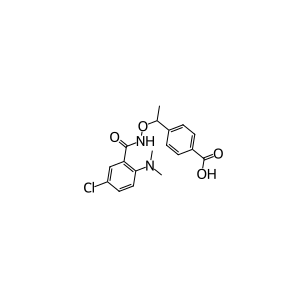 CC(ONC(=O)c1cc(Cl)ccc1N(C)C)c1ccc(C(=O)O)cc1